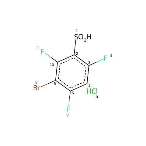 Cl.O=S(=O)(O)c1c(F)cc(F)c(Br)c1F